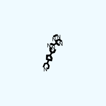 CN1CCC(c2ccc(-c3ccn4c(-c5cncc6nccnc56)cnc4c3)cc2)CC1